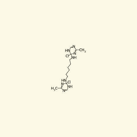 CC1=NC(Cl)(NCCCCCCNC2(Cl)N=C(C)N=CN2)NC=N1